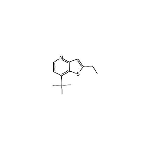 CCc1cc2nccc(C(C)(C)C)c2s1